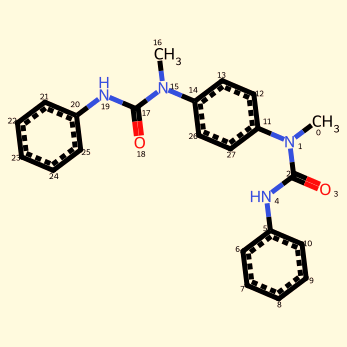 CN(C(=O)Nc1ccccc1)c1ccc(N(C)C(=O)Nc2ccccc2)cc1